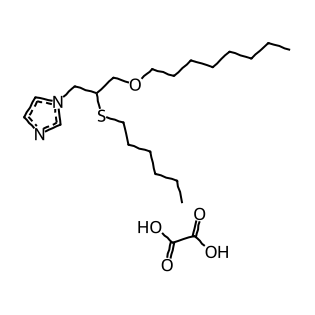 CCCCCCCCOCC(Cn1ccnc1)SCCCCCC.O=C(O)C(=O)O